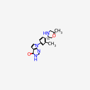 Cc1cc(-n2ccc3c(=O)[nH]cnc32)ccc1[C@H]1CO[C@H](C)CN1